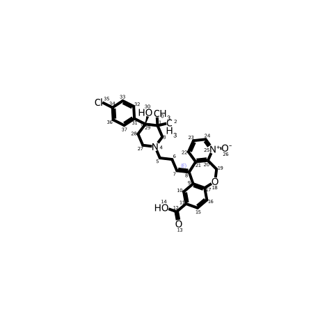 CC1(C)CN(CC/C=C2/c3cc(C(=O)O)ccc3OCc3c2ccc[n+]3[O-])CC[C@]1(O)c1ccc(Cl)cc1